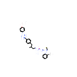 CC(CCNC(=O)/N=C1\SCCN1c1ccccc1C(C)C)Cc1ccc(-c2ncn(-c3ccc(OC(F)(F)F)cc3)n2)cc1